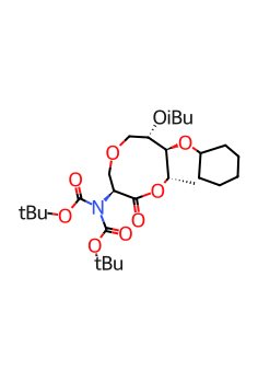 CC(C)CO[C@H]1COC[C@H](N(C(=O)OC(C)(C)C)C(=O)OC(C)(C)C)C(=O)O[C@@H](C)[C@@H]1OC1CCCCC1